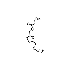 CCCCCCCCCCCC(=O)OCC1CCC(COS(=O)(=O)O)O1